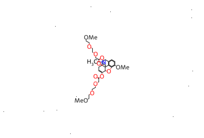 COCCOCCOCC(=O)OC1=CCC2(OC(=O)COCCOCCOC)C3Cc4ccc(OC)c5c4C2(CCN3C)C1O5